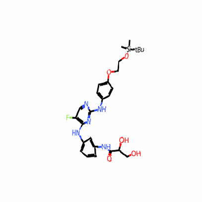 CC(C)(C)[Si](C)(C)OCCOc1ccc(Nc2ncc(F)c(Nc3cccc(NC(=O)C(O)CO)c3)n2)cc1